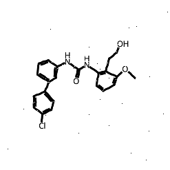 COc1cccc(NC(=O)Nc2cccc(-c3ccc(Cl)cc3)c2)c1CCO